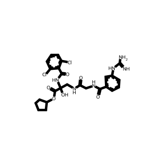 N=C(N)Nc1cccc(C(=O)NCC(=O)NCC(O)(NC(=O)c2c(Cl)cccc2Cl)C(=O)OC2CCCC2)c1